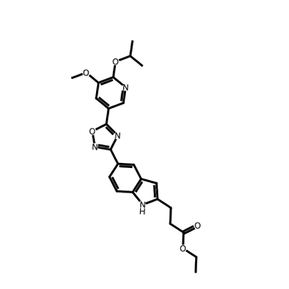 CCOC(=O)CCc1cc2cc(-c3noc(-c4cnc(OC(C)C)c(OC)c4)n3)ccc2[nH]1